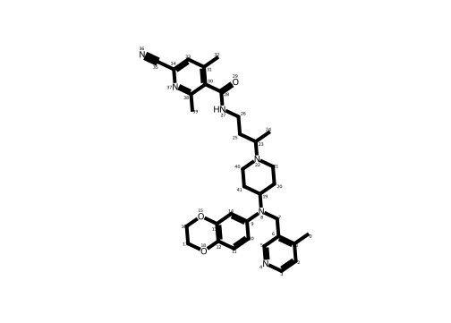 Cc1ccncc1CN(c1ccc2c(c1)OCCO2)C1CCN(C(C)CCNC(=O)c2c(C)cc(C#N)nc2C)CC1